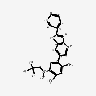 Cc1cc(C)c([S+]([O-])CC(F)(F)F)cc1-c1cnc2nc(-c3cccnc3)sc2c1